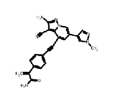 C=C(C(N)=O)c1ccc(C#Cc2cc(-c3cnn(C)c3)cn3nc(N)c(C#N)c23)cc1